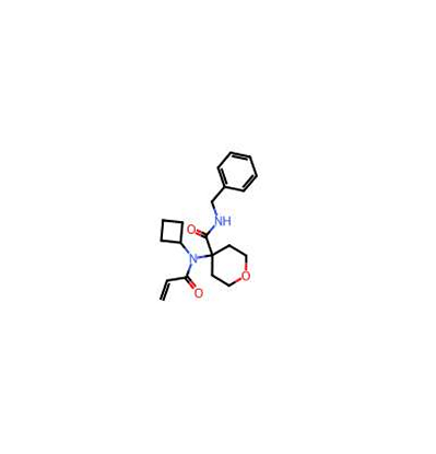 C=CC(=O)N(C1CCC1)C1(C(=O)NCc2ccccc2)CCOCC1